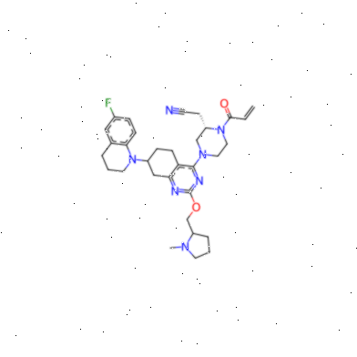 C=CC(=O)N1CCN(c2nc(OCC3CCCN3C)nc3c2CCC(N2CCCc4cc(F)ccc42)C3)C[C@@H]1CC#N